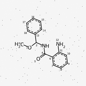 COC(NC(=O)c1ccccc1N)c1ccccc1